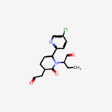 CCC(C=O)N1C(=O)C(CC=O)CCC1c1ccc(Cl)cn1